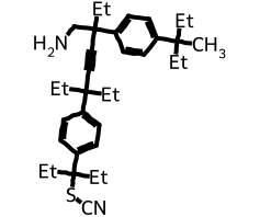 CCC(C)(CC)c1ccc(C(C#CC(CC)(CC)c2ccc(C(CC)(CC)SC#N)cc2)(CC)CN)cc1